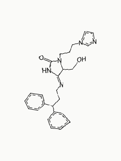 O=C1NC(=NCCC(c2ccccc2)c2ccccc2)C(CO)N1CCCn1ccnc1